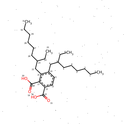 CCCCCCC(CC)Cc1ccc(C(=O)O)c(C(=O)O)c1CC(CC)CCCCCC